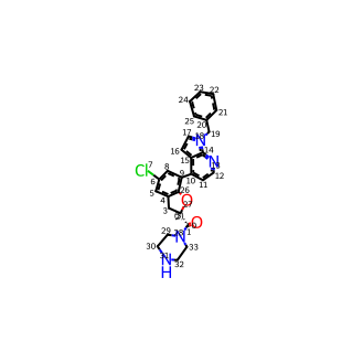 O=C([C@@H]1Cc2cc(Cl)cc(-c3ccnc4c3ccn4Cc3ccccc3)c2O1)N1CCNCC1